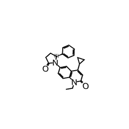 CCn1c(=O)cc(C2CC2)c2cc(N3C(=O)CC[C@H]3c3ccccc3)ccc21